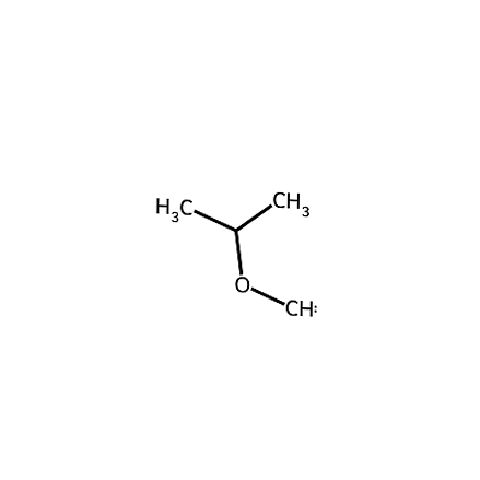 [CH]OC(C)C